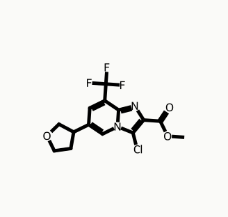 COC(=O)c1nc2c(C(F)(F)F)cc(C3CCOC3)cn2c1Cl